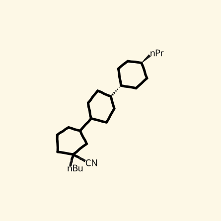 CCCCC1(C#N)CCCC(C2CCC([C@H]3CC[C@H](CCC)CC3)CC2)C1